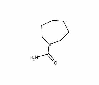 NC(=O)N1CC[CH]CCC1